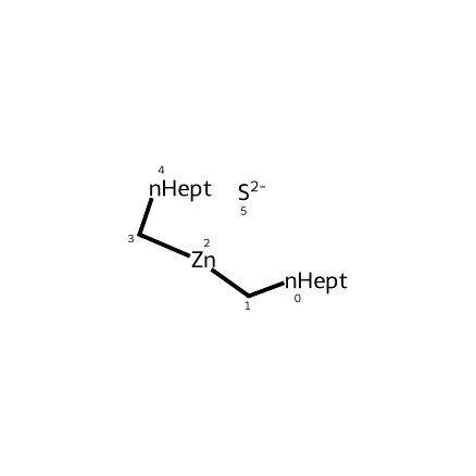 CCCCCCC[CH2][Zn][CH2]CCCCCCC.[S-2]